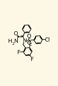 NC(=O)[C@@H](c1ccccc1)N(Cc1c(F)cc(F)cc1F)S(=O)(=O)c1ccc(Cl)cc1